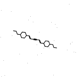 CCCC1CCC(/C=C/C#C/C=C/C2CCC(CCC)CC2)CC1